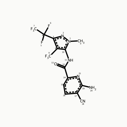 Cn1nc(C(F)(F)C(F)(F)F)c(C(F)(F)F)c1NC(=O)c1ccc(C#N)c(N)n1